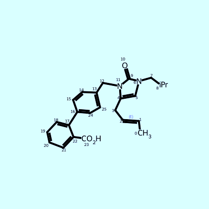 C/C=C/Cc1cn(CC(C)C)c(=O)n1Cc1ccc(-c2ccccc2C(=O)O)cc1